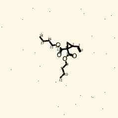 C=CC1CC1(C(=O)OCCCC)C(=O)OCCCC